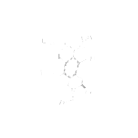 CCOC(=O)[C@@H](OC(C)(C)C)c1c(C)c2c(c(C)c1I)CN(CC(C)C)C(=O)C2